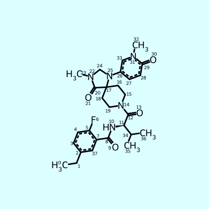 CCc1ccc(F)c(C(=O)N[C@@H](C(=O)N2CCC3(CC2)C(=O)N(C)CN3c2ccc(=O)n(C)c2)C(C)C)c1